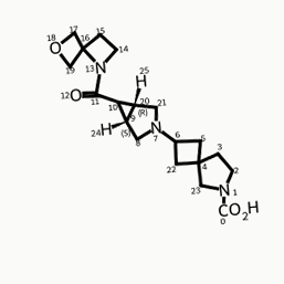 O=C(O)N1CCC2(CC(N3C[C@@H]4C(C(=O)N5CCC56COC6)[C@@H]4C3)C2)C1